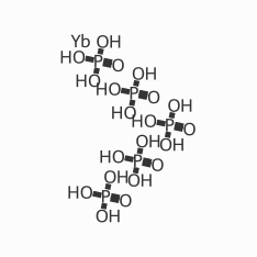 O=P(O)(O)O.O=P(O)(O)O.O=P(O)(O)O.O=P(O)(O)O.O=P(O)(O)O.[Yb]